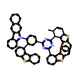 CC1C=Cc2sc3ccccc3c2C1c1nc(-c2ccc(-n3c4ccccc4c4cc5ccccc5cc43)c(-c3cccc4sc5ccccc5c34)c2)nc(-c2cccc3sc4ccccc4c23)n1